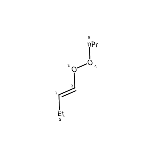 CCC=COOCCC